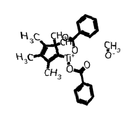 CC1=C(C)C(C)(C)[C]([Ti+]([O]C(=O)c2ccccc2)[O]C(=O)c2ccccc2)=C1C.C[O-]